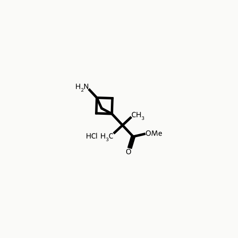 COC(=O)C(C)(C)C12CC(N)(C1)C2.Cl